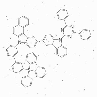 c1ccc(-c2nc(-c3ccccc3)nc(-n3c4ccccc4c4cc(-c5ccc6c(c5)c5c7ccccc7ccc5n6-c5cccc(-c6cccc(S(c7ccccc7)(c7ccccc7)c7ccccc7)c6)c5)ccc43)n2)cc1